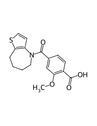 COc1cc(C(=O)N2CCCCc3sccc32)ccc1C(=O)O